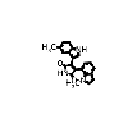 Cc1ccc2[nH]cc(C3=C(c4cccc5ccn(C)c45)C(=O)NC3=O)c2c1